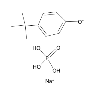 CC(C)(C)c1ccc([O-])cc1.O=P(O)(O)O.[Na+]